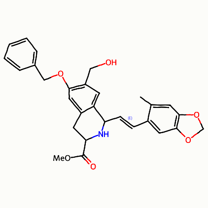 COC(=O)C1Cc2cc(OCc3ccccc3)c(CO)cc2C(/C=C/c2cc3c(cc2C)OCO3)N1